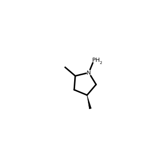 CC1C[C@H](C)CN1P